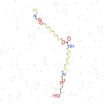 O=C(NCSCSCSCSC/N=C/OOCCCO)OCSCSCSCSCOO/C=N\CS